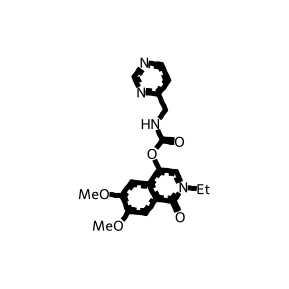 CCn1cc(OC(=O)NCc2ccncn2)c2cc(OC)c(OC)cc2c1=O